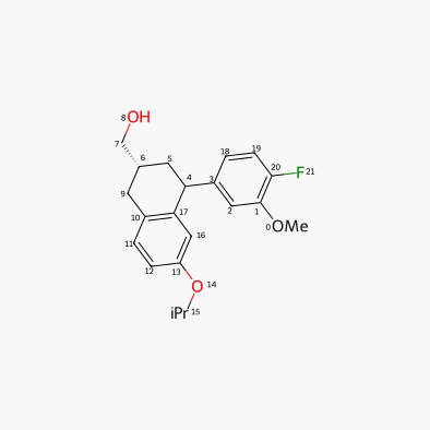 COc1cc(C2C[C@@H](CO)Cc3ccc(OC(C)C)cc32)ccc1F